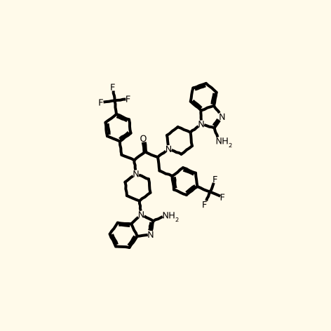 Nc1nc2ccccc2n1C1CCN(C(Cc2ccc(C(F)(F)F)cc2)C(=O)C(Cc2ccc(C(F)(F)F)cc2)N2CCC(n3c(N)nc4ccccc43)CC2)CC1